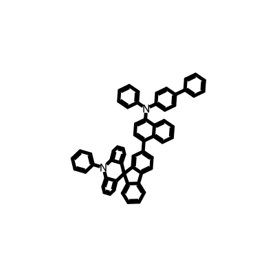 c1ccc(-c2ccc(N(c3ccccc3)c3ccc(-c4ccc5c(c4)C4(c6ccccc6-5)c5ccccc5N(c5ccccc5)c5ccccc54)c4ccccc34)cc2)cc1